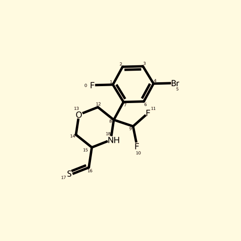 Fc1ccc(Br)cc1C1(C(F)F)COCC(C=S)N1